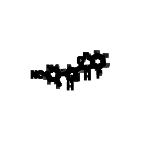 Cc1cc(C#N)ncc1-c1cc(C(=O)Nc2c(F)cccc2F)n[nH]1